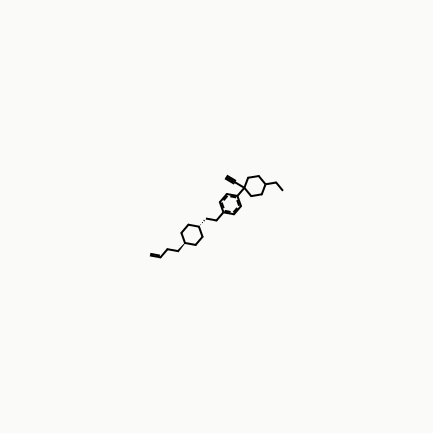 C#CC1(c2ccc(CC[C@H]3CC[C@H](CCC=C)CC3)cc2)CCC(CC)CC1